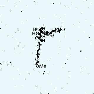 COCCOCCOCCOCCNC(=O)C(OCCNC(=O)CNC=O)C(O)C(O)C(C)O